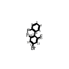 Fc1[c]cccc1-c1c(F)cc(Br)cc1F